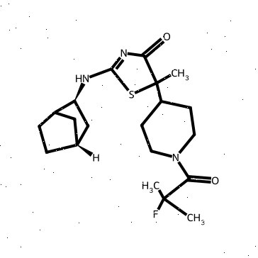 CC(C)(F)C(=O)N1CCC(C2(C)SC(N[C@H]3C[C@@H]4CCC3C4)=NC2=O)CC1